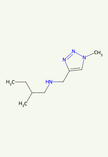 CCC(C)CNCc1cn(C)nn1